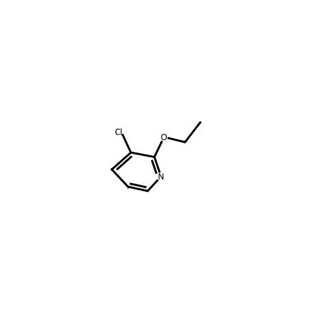 CCOc1nc[c]cc1Cl